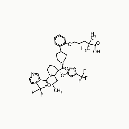 CCC[C@H]1N(C(=O)c2cnccc2C(F)(F)F)CCC[C@@]1(Oc1csc(C(F)(F)F)c1)C(=O)N1CCC(c2ccccc2OCCCC(C)(C)C(=O)O)CC1